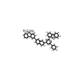 CC1(C)c2ccccc2-c2cc(-c3ccc4ccc(-c5nc(-c6ccccc6)nc(-c6cccc7c6oc6ccccc67)n5)cc4c3)ccc21